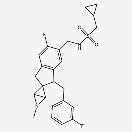 CN1C2C1C21Cc2cc(F)c(CNS(=O)(=O)CC3CC3)cc2C1Cc1cccc(F)c1